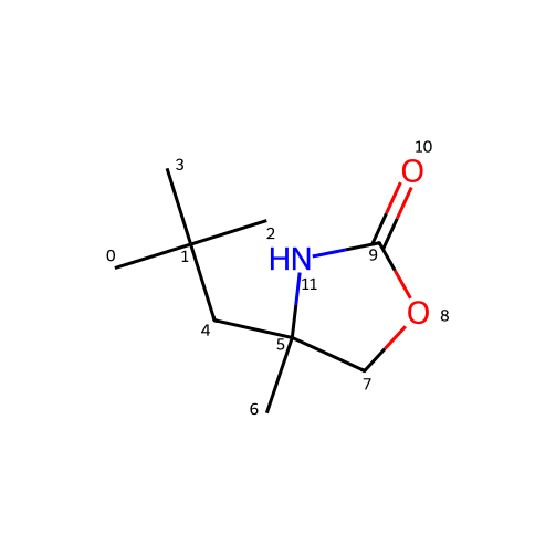 CC(C)(C)CC1(C)COC(=O)N1